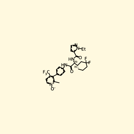 CCn1nccc1C(=O)N[C@H](C(=O)Nc1ccc(-c2c(C(F)(F)F)cc[n+]([O-])c2C)cc1)[C@H]1CCCC(F)(F)C1